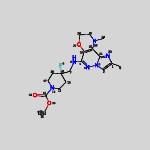 Cc1cn2nc(NCC3(F)CCN(C(=O)OC(C)(C)C)CC3)c3c(c2n1)N(C)CCO3